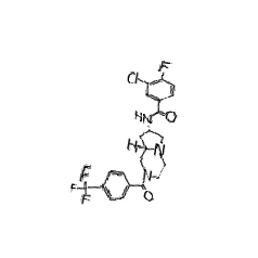 O=C(N[C@H]1C[C@H]2CN(C(=O)c3ccc(C(F)(F)F)cc3)CCN2C1)c1ccc(F)c(Cl)c1